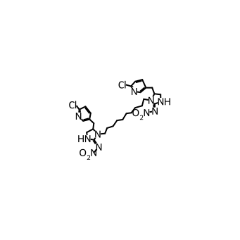 O=[N+]([O-])N=C1NCC(Cc2ccc(Cl)nc2)N1CCCCCCCCCCN1C(=N[N+](=O)[O-])NCC1Cc1ccc(Cl)nc1